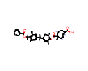 Cc1cc(C(C)(C)c2cc(C)c(C(C)(C)OC(=O)c3ccccc3)c(C)c2)cc(C)c1OC(=O)C1(C)/C=C\C=C(/C(=O)O)C/C=C\1